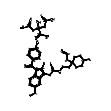 COc1ccc2c(c1)c(CC(=O)OCCC1(SN=O)CCN(C)CC1)c(C)n2C(=O)c1ccc(Cl)cc1.O=C(O)CC(O)(CC(=O)O)C(=O)O